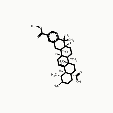 COC(=O)c1cnc2c(c1)C[C@]1(C)[C@H]3CC=C4[C@@H]5[C@@H](C)[C@H](C)CC[C@]5(C(=O)O)CC[C@@]4(C)[C@]3(C)CC[C@H]1C2(C)C